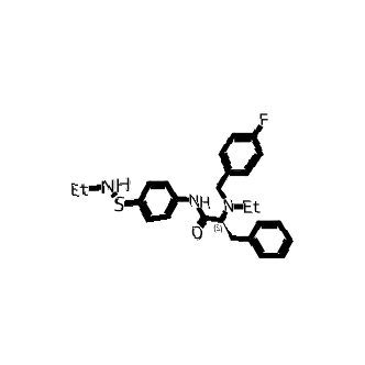 CCNSc1ccc(NC(=O)[C@H](Cc2ccccc2)N(CC)Cc2ccc(F)cc2)cc1